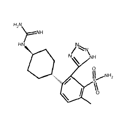 Cc1ccc([C@H]2CC[C@H](NC(=N)N)CC2)c(-c2nnn[nH]2)c1S(N)(=O)=O